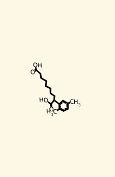 Cc1ccc(C)c(C(CCCCCCCC(=O)O)C(=O)O)c1